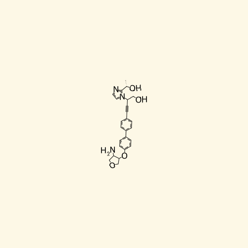 C[C@H](O)c1nccn1C(C#Cc1ccc(-c2ccc(OC3COCC3N)cc2)cc1)CO